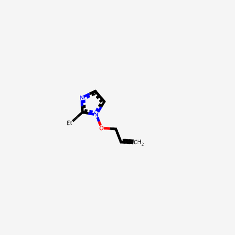 C=CCOn1ccnc1CC